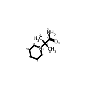 CC(C)(C(N)=O)N1CCCCC1